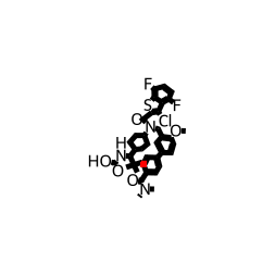 COc1ccc(-c2ccc(C(=O)N(C)C)cc2)cc1CN(C(=O)c1sc2c(F)ccc(F)c2c1Cl)C1CCC(C(NC(=O)O)C(C)(C)C)CC1